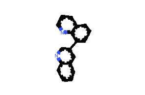 [c]1nc2ccccc2cc1-c1cccc2cccnc12